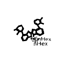 CCCCCC[Si](CCCCCC)=[Hf]([CH3])([CH3])([CH]1C=Cc2c(-c3cccc(C)c3C)cccc21)[CH]1C=Cc2c(-c3cccc(C)c3C)cccc21